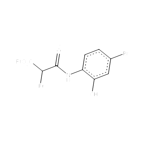 CCOC(=O)C(CC)C(=O)Nc1ccc(Br)cc1C